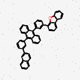 C1=CC2Oc3c(-c4cccc(-c5c6ccccc6c(-c6cccc(-c7ccc8ccccc8c7)c6)c6ccccc56)c4)cccc3C2C=C1